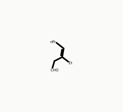 CCCC=C(CC)CC=O